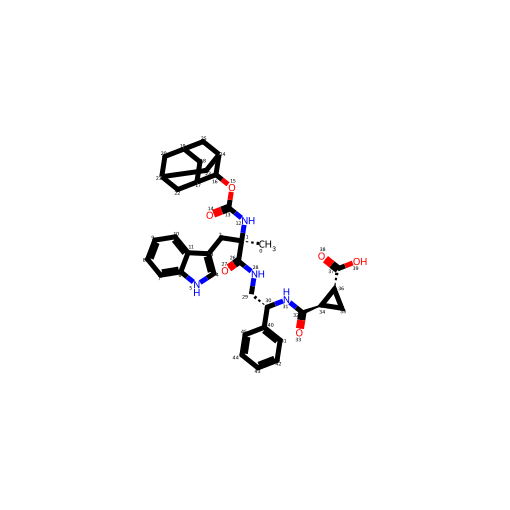 C[C@](Cc1c[nH]c2ccccc12)(NC(=O)OC1C2CC3CC(C2)CC1C3)C(=O)NC[C@H](NC(=O)[C@@H]1C[C@H]1C(=O)O)c1ccccc1